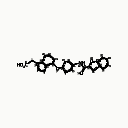 O=C(O)Cn1ccc2c(Oc3ccc(NC(=O)c4cc5ccccc5o4)cc3)cccc21